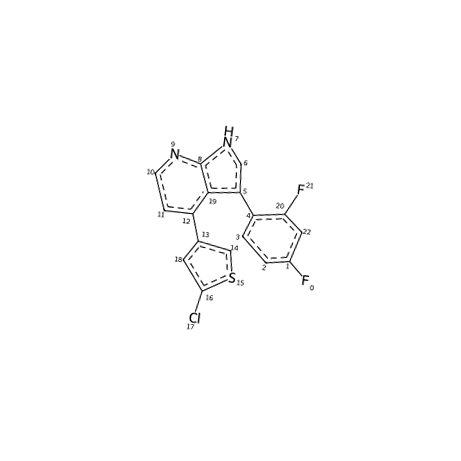 Fc1ccc(-c2c[nH]c3nccc(-c4csc(Cl)c4)c23)c(F)c1